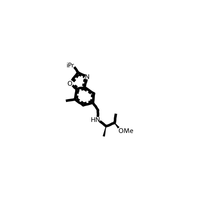 CO[C@H](C)[C@@H](C)NCc1cc(C)c2oc(C(C)C)nc2c1